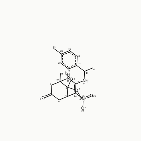 COC1(OC)C2CC(=O)CC1(C)NC(NC(C)c1ccc(C)cc1)=C2[N+](=O)[O-]